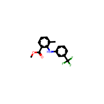 COC(=O)c1cccc(C)c1Nc1cccc(C(F)(F)F)c1